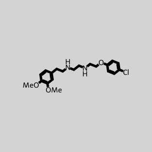 COc1ccc(CCNCCNCCOc2ccc(Cl)cc2)cc1OC